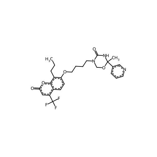 CCCc1c(OCCCCN2COC(C)(c3cccnc3)NC2=O)ccc2c(C(F)(F)F)cc(=O)oc12